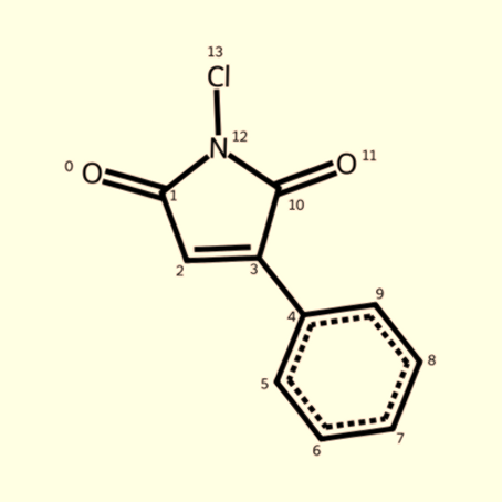 O=C1C=C(c2ccccc2)C(=O)N1Cl